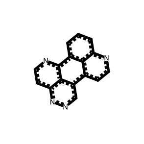 c1cc2nccc3c4cnnc5ccnc(c(c1)c23)c54